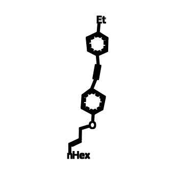 CCCCCCC=CCOc1ccc(C#Cc2ccc(CC)cc2)cc1